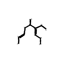 CC=CCC(C)C(=[C]CC)CC